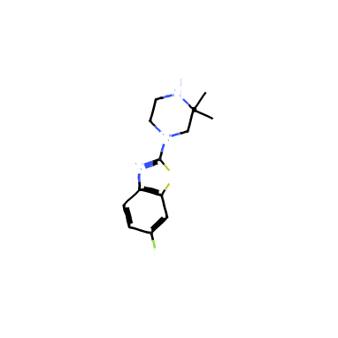 CC1(C)CN(c2nc3ccc(F)cc3s2)CCN1